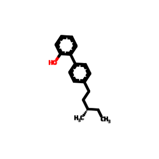 CC[C@H](C)CCc1ccc(-c2ccccc2O)cc1